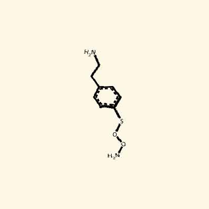 NCCc1ccc(SOON)cc1